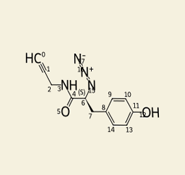 C#CCNC(=O)[C@H](Cc1ccc(O)cc1)N=[N+]=[N-]